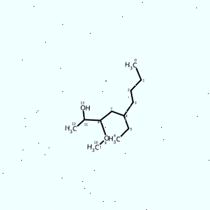 CCCCC(CC)CC(OC)C(C)O